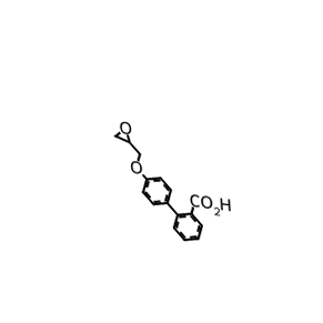 O=C(O)c1ccccc1-c1ccc(OCC2CO2)cc1